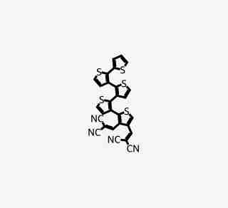 N#CC(C#N)=Cc1csc(-c2ccsc2-c2ccsc2-c2ccsc2-c2cccs2)c1C=C(C#N)C#N